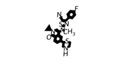 CN(c1nc(-c2ccc(F)cc2)c(C#N)s1)c1cn(C2CC2)c(=O)c2ccc(C3CNCCS3)cc12